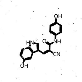 N#CC(=Cc1c[nH]c2ccc(O)cc12)C(=O)Nc1ccc(O)cc1